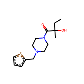 CCC(C)(O)C(=O)N1CCN(Cc2cccs2)CC1